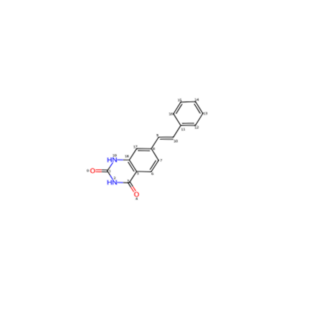 O=c1[nH]c(=O)c2ccc(C=Cc3ccccc3)cc2[nH]1